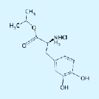 CC(C)OC(=O)[C@@H](N)Cc1ccc(O)c(O)c1.Cl